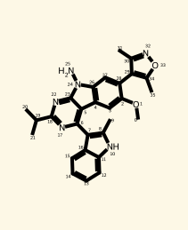 COc1cc2c3c(-c4c(C)[nH]c5ccccc45)nc(C(C)C)nc3n(N)c2cc1-c1c(C)noc1C